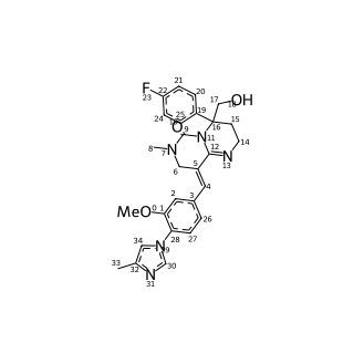 COc1cc(/C=C2\CN(C)C(=O)N3C2=NCCC3(CO)c2ccc(F)cc2)ccc1-n1cnc(C)c1